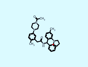 CC(=O)N1CCN(c2ccc(C)c(CC(=O)NC(c3ccccc3)c3ccc(C)cc3N3CCCC3)c2)CC1